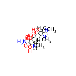 CCN(C)[C@@H]1C(O)=C(C(N)=O)C(=O)[C@@]2(O)C(O)=C3C(=O)c4c(O)cc5c(c4C[C@H]3C[C@@H]12)N(C)CCC5N(C)C